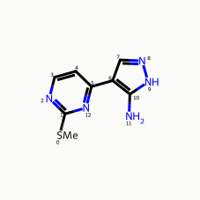 CSc1nccc(-c2cn[nH]c2N)n1